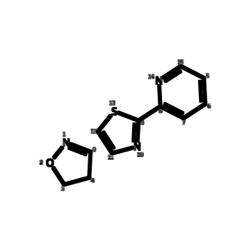 C1=NOCC1.c1ccc(-c2nccs2)nc1